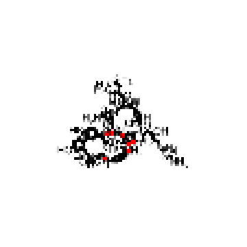 CN[C@@H](CC(C)C)C(=O)N[C@H]1C(=O)N[C@@H](CC(N)=O)C(=O)N[C@H]2C(=O)N[C@H]3C(=O)N[C@H](C(=O)N[C@@H](C(=O)O)c4cc(O)cc(O)c4-c4cc3ccc4O)[C@H](O)c3ccc(c(Cl)c3)Oc3cc2cc(c3OC2OC(CSc3nnc(N)s3)C(O)C(O)C2OC2CC(C)(N)C(O)C(C)O2)Oc2ccc(cc2Cl)[C@H]1O